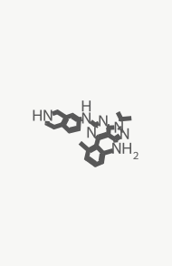 Cc1cccc(C)c1-c1nc(Nc2ccc3c(c2)CNCC3)nc2c1c(N)nn2C(C)C